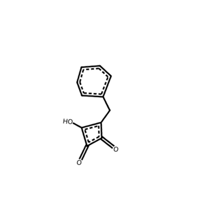 O=c1c(O)c(Cc2ccccc2)c1=O